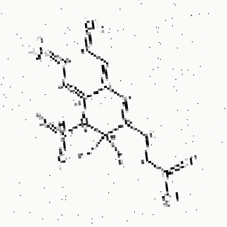 C=C/C=C1/C=C(CCC(=O)O)C(F)(F)N([SH](=O)=O)/C1=C/C=C